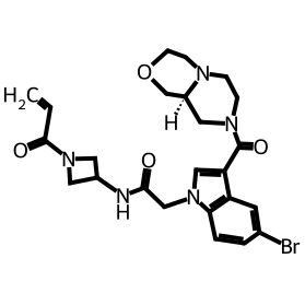 C=CC(=O)N1CC(NC(=O)Cn2cc(C(=O)N3CCN4CCOC[C@@H]4C3)c3cc(Br)ccc32)C1